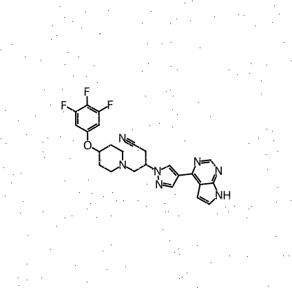 N#CCC(CN1CCC(Oc2cc(F)c(F)c(F)c2)CC1)n1cc(-c2ncnc3[nH]ccc23)cn1